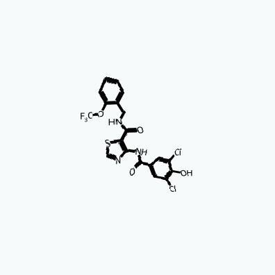 O=C(Nc1ncsc1C(=O)NCc1ccccc1OC(F)(F)F)c1cc(Cl)c(O)c(Cl)c1